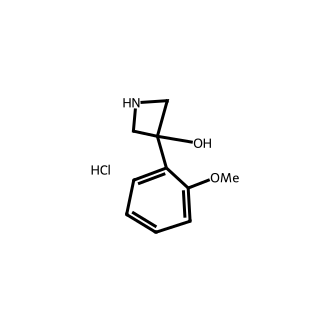 COc1ccccc1C1(O)CNC1.Cl